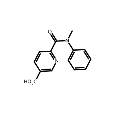 CN(C(=O)c1ccc(C(=O)O)cn1)c1ccccc1